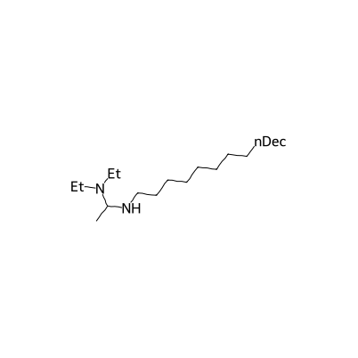 CCCCCCCCCCCCCCCCCCNC(C)N(CC)CC